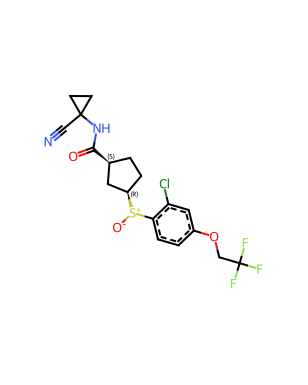 N#CC1(NC(=O)[C@H]2CC[C@@H]([S+]([O-])c3ccc(OCC(F)(F)F)cc3Cl)C2)CC1